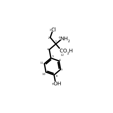 NC(CCl)(Cc1ccc(O)cc1)C(=O)O